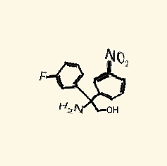 NC(CO)(c1cccc(F)c1)c1cccc([N+](=O)[O-])c1